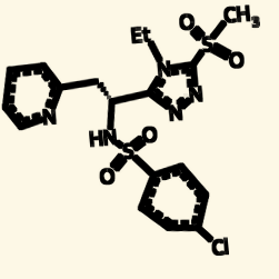 CCn1c([C@@H](Cc2ccccn2)NS(=O)(=O)c2ccc(Cl)cc2)nnc1S(C)(=O)=O